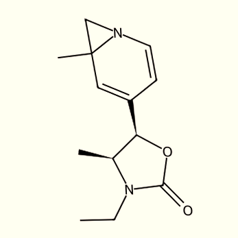 CCN1C(=O)O[C@H](C2=CC3(C)CN3C=C2)[C@@H]1C